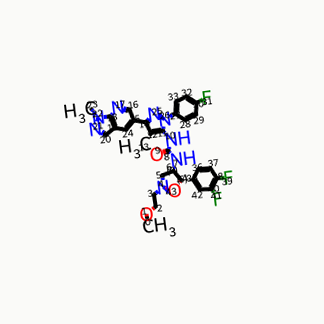 COCCN1C[C@@H](NC(=O)Nc2c(C)c(-c3cnc4c(cnn4C)c3)nn2-c2ccc(F)cc2)[C@H](c2ccc(F)c(F)c2)O1